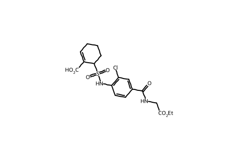 CCOC(=O)CNC(=O)c1ccc(NS(=O)(=O)C2CCCC=C2C(=O)O)c(Cl)c1